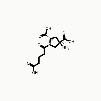 N[C@]1(C(=O)O)C[C@@H](C(=O)O)N(C(=O)CCCC(=O)O)C1